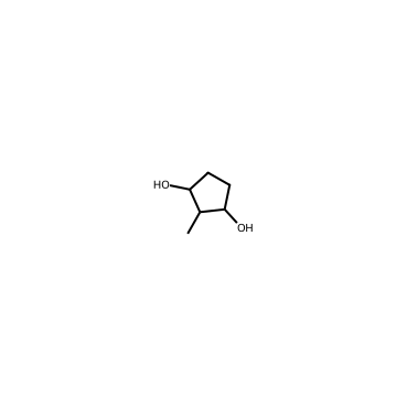 CC1C(O)CCC1O